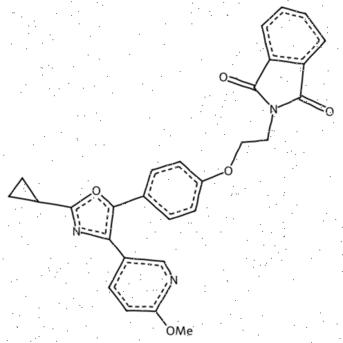 COc1ccc(-c2nc(C3CC3)oc2-c2ccc(OCCN3C(=O)c4ccccc4C3=O)cc2)cn1